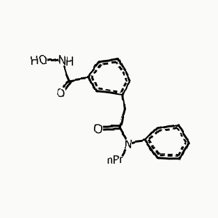 CCCN(C(=O)Cc1cccc(C(=O)NO)c1)c1ccccc1